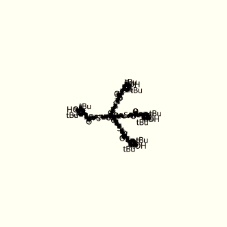 CC(C)(C)c1cc(CCC(=O)OCCSCCCOC(OCCCSCCOC(=O)CCc2cc(C(C)(C)C)c(O)c(C(C)(C)C)c2)C(OCCCSCCOC(=O)CCc2cc(C(C)(C)C)c(O)c(C(C)(C)C)c2)OCCCSCCOC(=O)CCc2cc(C(C)(C)C)c(O)c(C(C)(C)C)c2)cc(C(C)(C)C)c1O